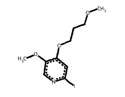 COCCCOc1cc(I)ncc1OC